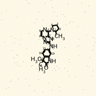 CC1CCCN1c1nccn2nc(Nc3ccc4c(c3)NC(=O)C4(C)C)nc12